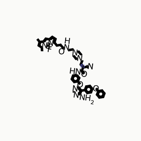 CC1=CC(C)=[N+]2B(F)n3c(ccc3CCC(=O)NCCN3CCN(C/C=C(\C#N)C(=O)Nc4cccc(Oc5ncnc(N)c5-c5ccc(Oc6ccccc6)cc5)c4)CC3)C=C12